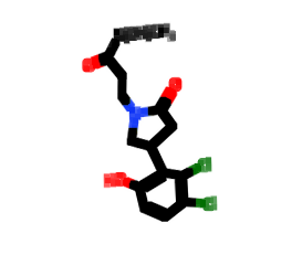 CN(O)C(=O)CCN1CC(c2c(O)ccc(Cl)c2Cl)CC1=O